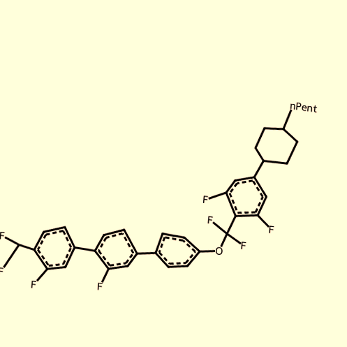 CCCCCC1CCC(c2cc(F)c(C(F)(F)Oc3ccc(-c4ccc(-c5ccc(C(F)F)c(F)c5)c(F)c4)cc3)c(F)c2)CC1